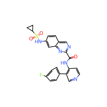 O=C(Nc1ccncc1-c1ccc(F)cc1)c1ncc2ccc(NS(=O)(=O)C3CC3)cc2n1